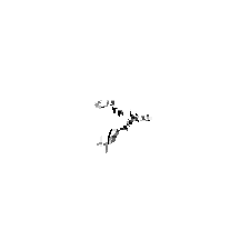 [BH2][Mo].[Cu].[Fe]